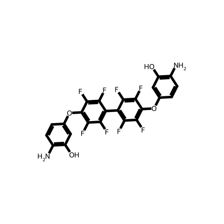 Nc1ccc(Oc2c(F)c(F)c(-c3c(F)c(F)c(Oc4ccc(N)c(O)c4)c(F)c3F)c(F)c2F)cc1O